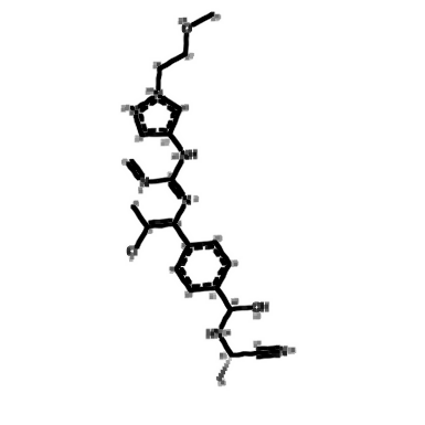 C=N/C(=N\C(=C(/C)Cl)c1ccc(C(O)N[C@@H](C)C#N)cc1)Nc1cnn(CCOC)c1